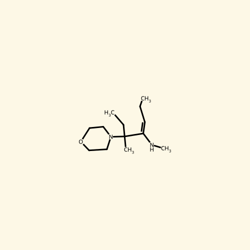 CC/C=C(/NC)C(C)(CC)N1CCOCC1